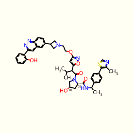 Cc1ncsc1-c1ccc(C(C)NC(=O)[C@@H]2C[C@@H](O)CN2C(=O)C(c2cc(OCCN3CC(c4ccc5nnc(-c6ccccc6O)cc5c4)C3)no2)C(C)C)cc1